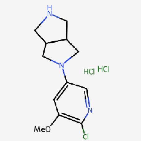 COc1cc(N2CC3CNCC3C2)cnc1Cl.Cl.Cl